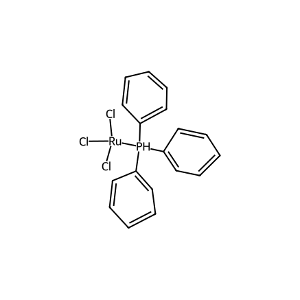 [Cl][Ru]([Cl])([Cl])[PH](c1ccccc1)(c1ccccc1)c1ccccc1